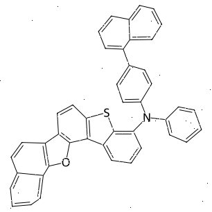 c1ccc(N(c2ccc(-c3cccc4ccccc34)cc2)c2cccc3c2sc2ccc4c5ccc6ccccc6c5oc4c23)cc1